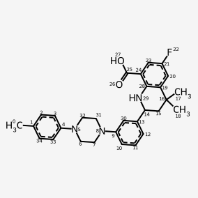 Cc1ccc(N2CCN(c3cccc(C4CC(C)(C)c5cc(F)cc(C(=O)O)c5N4)c3)CC2)cc1